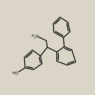 NCC(c1ccc(O)cc1)c1ccccc1-c1ccccc1